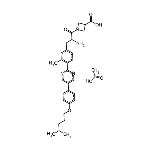 CC(=O)O.Cc1cc(CC(N)C(=O)N2CC(C(=O)O)C2)ccc1-c1ncc(-c2ccc(OCCCC(C)C)cc2)cn1